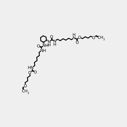 C=COCCCCOC(=O)NCCCCCCNC(=O)N[C@H]1CCCC[C@@H]1NC(=O)NCCCCCCNC(=O)OCCCCOC=C